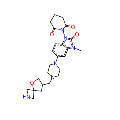 Cn1c(=O)n(N2C(=O)CCCC2=O)c2ccc(N3CCN(CC4COC5(CNC5)C4)CC3)cc21